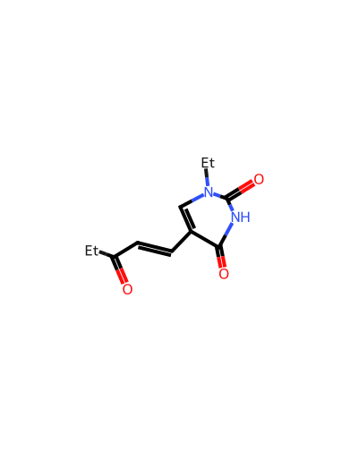 CCC(=O)/C=C/c1cn(CC)c(=O)[nH]c1=O